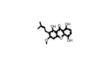 COc1cc2oc3c(O)ccc(O)c3c(=O)c2c(O)c1CC=C(C)C